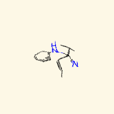 CC=CC(C#N)(Nc1ccccc1)C(C)C